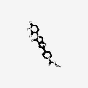 CC(C)(C)OC(=O)N1CC=C(c2cc3c(s2)CN(C2CCC(=O)NC2=O)C3=O)CC1